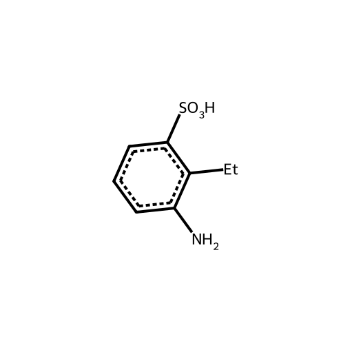 CCc1c(N)cccc1S(=O)(=O)O